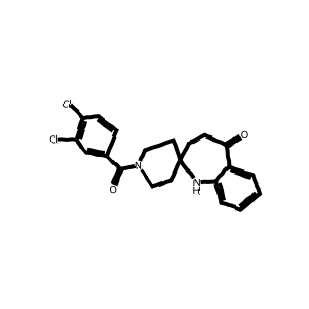 O=C1CCC2(CCN(C(=O)c3ccc(Cl)c(Cl)c3)CC2)Nc2ccccc21